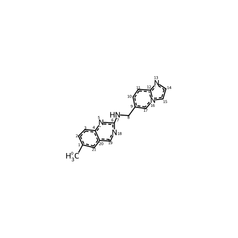 Cc1ccc2nc(NCc3ccc4nccn4c3)ncc2c1